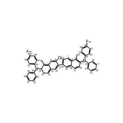 CC1=c2cc3oc4cc5c(C)c(N(c6ccccc6)c6ccc(F)cc6)ccc5cc4c3cc2=CCC1N(c1ccccc1)c1ccc(F)cc1